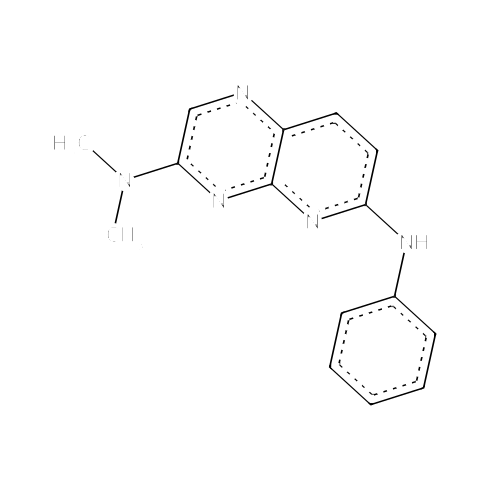 CN(C)c1cnc2ccc(Nc3ccccc3)nc2n1